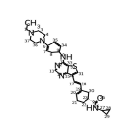 CCN1CCN(C2=CCC(Nc3ncnc4c(/C=C/C5=CCC[C@@H](C(=O)NC6CC6)C5)csc34)C=C2)CC1